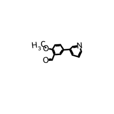 COc1ccc(-c2cccnc2)cc1C=O